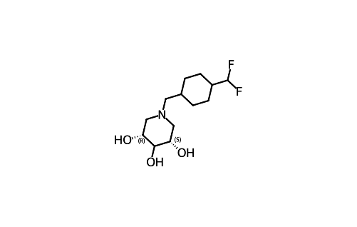 OC1[C@H](O)CN(CC2CCC(C(F)F)CC2)C[C@@H]1O